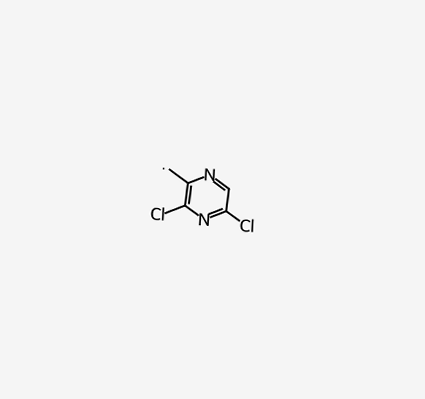 [CH2]c1ncc(Cl)nc1Cl